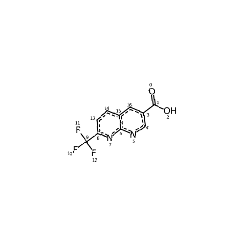 O=C(O)c1cnc2nc(C(F)(F)F)ccc2c1